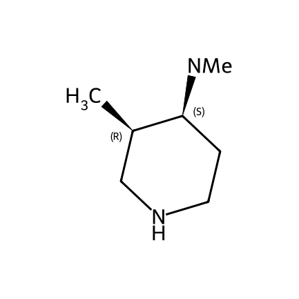 CN[C@H]1CCNC[C@H]1C